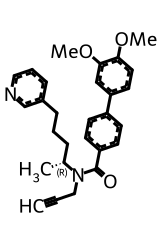 C#CCN(C(=O)c1ccc(-c2ccc(OC)c(OC)c2)cc1)[C@H](C)CCCc1cccnc1